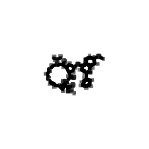 COc1ccc2c(OC3CC4C(=O)NC5(C(N)=O)CC5C=CCCCCN(N(C)C)C(=O)C4C3)cc(-c3ccccc3)nc2c1